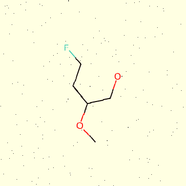 COC(C[O])CCF